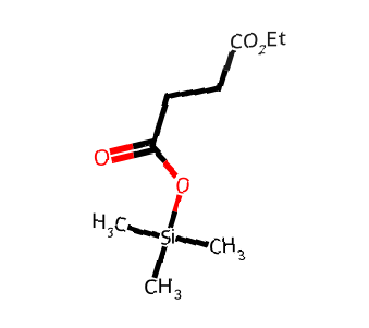 CCOC(=O)CCC(=O)O[Si](C)(C)C